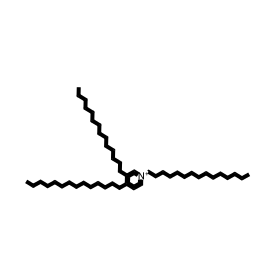 CCCCCCCCCCCCCCC[n+]1ccc(CCCCCCCCCCCCCC)c(CCCCCCCCCCCCCC)c1